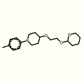 Cc1ccc(N2CCC(OCCOC3CCCCO3)CC2)cc1